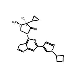 C[C@@H]1CN(c2nc(-c3cnn(C4COC4)c3)cc3ncsc23)C(=O)[C@]1(C#N)C1CC1